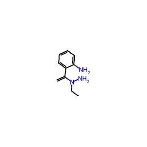 C=C(c1ccccc1N)N(N)CC